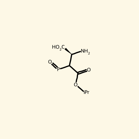 CC(C)OC(=O)C(P=O)[C@H](N)C(=O)O